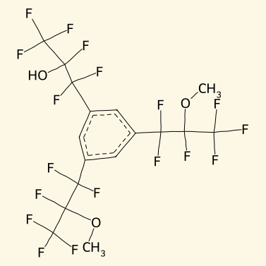 COC(F)(C(F)(F)F)C(F)(F)c1cc(C(F)(F)C(O)(F)C(F)(F)F)cc(C(F)(F)C(F)(OC)C(F)(F)F)c1